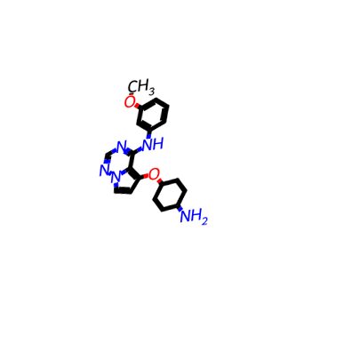 COc1cccc(Nc2ncnn3ccc(OC4CCC(N)CC4)c23)c1